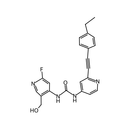 CCc1ccc(C#Cc2cc(NC(=O)Nc3cc(F)ncc3CO)ccn2)cc1